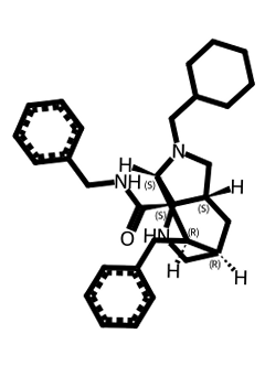 O=C(NCc1ccccc1)[C@]12NC[C@@H]3C[C@H]1CN(CC1CCCCC1)[C@H]2[C@@H]3Cc1ccccc1